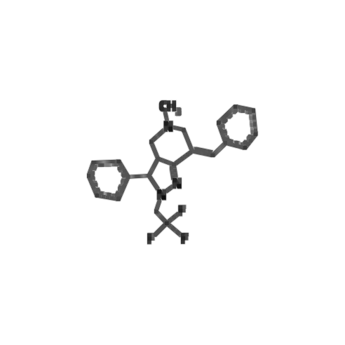 CN1CC(=Cc2ccccc2)C2=NN(CC(F)(F)F)C(c3ccccc3)C2C1